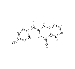 CN(c1ccc(Cl)cc1)N1CC(=O)c2ncccc2S1